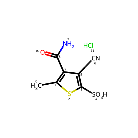 Cc1sc(S(=O)(=O)O)c(C#N)c1C(N)=O.Cl